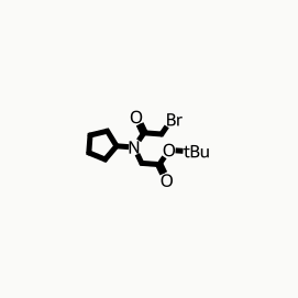 CC(C)(C)OC(=O)CN(C(=O)CBr)C1CCCC1